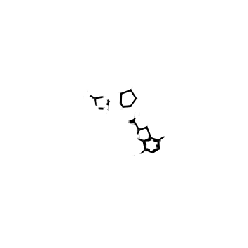 Cc1ccc(F)c2c1NC(C(=O)N[C@H]1CCC[C@@H](C3NOC(C)N3)C1)C2